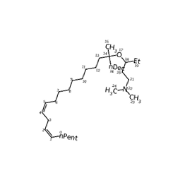 CCCCC/C=C\C/C=C\CCCCCCCCC(C)(CCCCCCCCCC)OC(CC)CCN(C)C